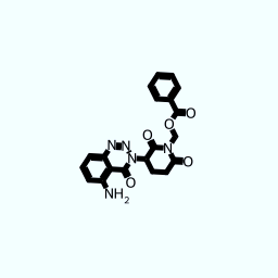 Nc1cccc2nnn(C3CCC(=O)N(COC(=O)c4ccccc4)C3=O)c(=O)c12